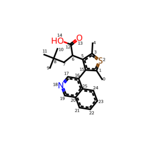 Cc1sc(C)c(C(CC(C)(C)C)C(=O)O)c1-c1cncc2ccccc12